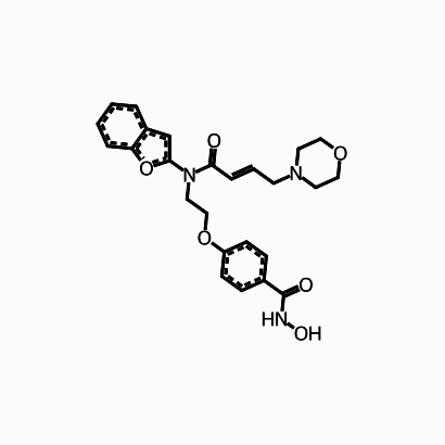 O=C(NO)c1ccc(OCCN(C(=O)C=CCN2CCOCC2)c2cc3ccccc3o2)cc1